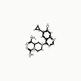 NC(=O)C1CN(c2ncnc3cc(Cl)c(C4CC4)cc23)CCN1C(=O)O